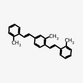 Cc1ccccc1/C=C/c1ccc(/C=C/c2ccccc2C)c(C)c1